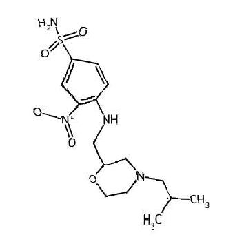 C[C](C)CN1CCOC(CNc2ccc(S(N)(=O)=O)cc2[N+](=O)[O-])C1